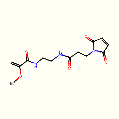 C=C(OCC)C(=O)NCCNC(=O)CCN1C(=O)C=CC1=O